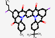 CCCC(I)c1cc2c(=O)c3cc(C)ccc3n3c4cc5c(cc4c(=O)c(c1)c23)c(=O)c1cc(I)cc2c(=O)c3cc(C(C)(C)C)ccc3n5c21